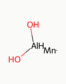 [Mn].[OH][AlH][OH]